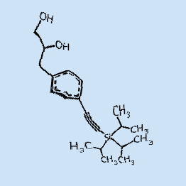 CC(C)[Si](C#Cc1ccc(CC(O)CO)cc1)(C(C)C)C(C)C